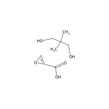 CC(C)(CO)CO.O=C(O)C1=CO1